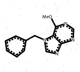 COc1ncnc2ncn(Cc3ccccc3)c12